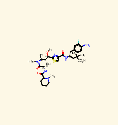 CCCCCCN(C(=O)[C@@H](NC(=O)C1CCCCN1C)[C@@H](C)CC)[C@H](C[C@@H](OCC)c1nc(C(=O)N[C@@H](Cc2ccc(N)c(F)c2)CC(C)(C)C(=O)O)cs1)C(C)C